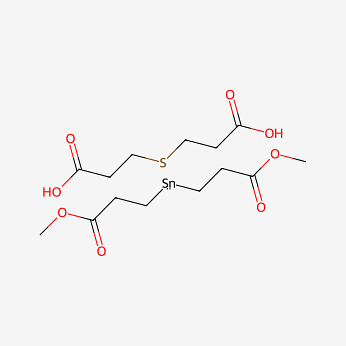 COC(=O)C[CH2][Sn][CH2]CC(=O)OC.O=C(O)CCSCCC(=O)O